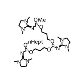 CCCCCCCOP(N=C1N(C)CCN1C)OCCCOP(N=C1N(C)CCN1C)OCCCOP(N=C1N(C)CCN1C)OC